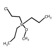 CCC[Si](CCC)(CCCl)OC